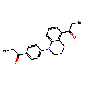 O=C(CBr)c1ccc(N2CCCc3c(C(=O)CBr)cccc32)cc1